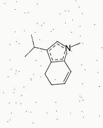 CC(C)c1cn(C)c2c1CCC=C2